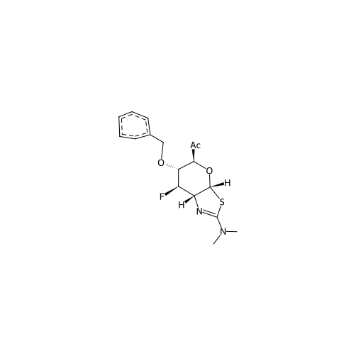 CC(=O)[C@H]1O[C@@H]2SC(N(C)C)=N[C@@H]2[C@@H](F)[C@@H]1OCc1ccccc1